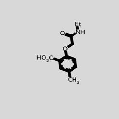 CCNC(=O)COc1ccc(C)cc1C(=O)O